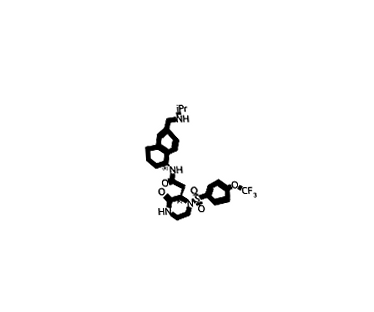 CC(C)NCc1ccc2c(c1)CCC[C@H]2NC(=O)C[C@@H]1C(=O)NCCN1S(=O)(=O)c1ccc(OC(F)(F)F)cc1